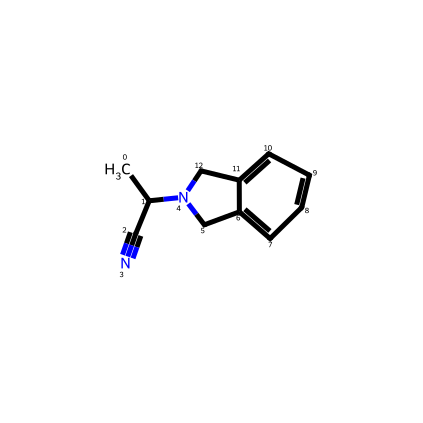 CC(C#N)N1Cc2ccccc2C1